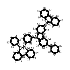 c1ccc(B2c3ccccc3-c3ccccc3N2c2cccc(-n3c4ccc(-c5ccccc5)cc4c4cc(-n5c6ccccc6c6ccccc65)ccc43)c2)cc1